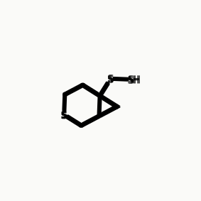 SSC12CCSCC1C2